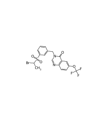 CC(Br)S(=O)(=O)c1cccc(Cn2cnc3ccc(OC(F)(F)F)cc3c2=O)c1